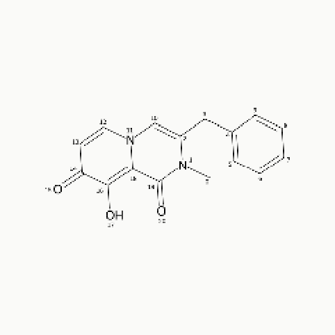 Cn1c(Cc2ccccc2)cn2ccc(=O)c(O)c2c1=O